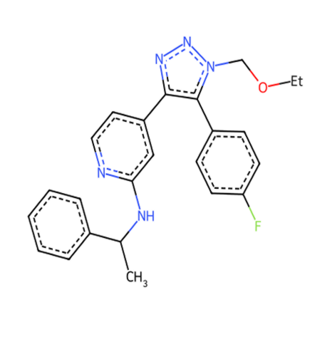 CCOCn1nnc(-c2ccnc(NC(C)c3ccccc3)c2)c1-c1ccc(F)cc1